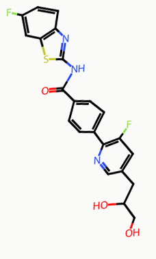 O=C(Nc1nc2ccc(F)cc2s1)c1ccc(-c2ncc(CC(O)CO)cc2F)cc1